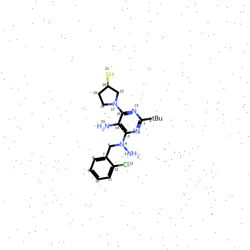 CC(C)(C)c1nc(N(N)Cc2ccccc2Cl)c(N)c(N2CC[C@@H](S)C2)n1